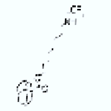 O=C(OCCCCCCCCNCC(F)(F)F)C12CC3CC(CC(C3)C1)C2